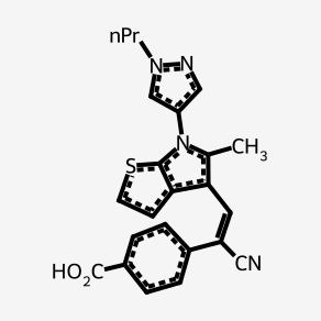 CCCn1cc(-n2c(C)c(C=C(C#N)c3ccc(C(=O)O)cc3)c3ccsc32)cn1